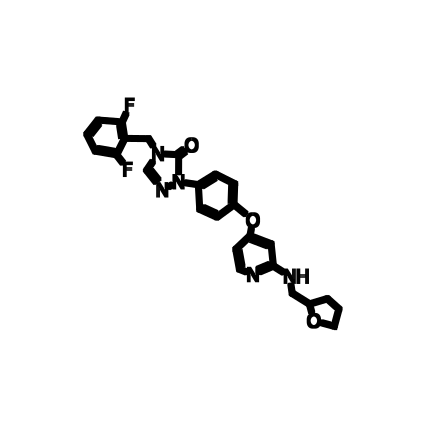 O=c1n(Cc2c(F)cccc2F)cnn1-c1ccc(Oc2ccnc(NCC3CCCO3)c2)cc1